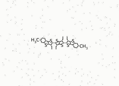 Cc1ccc2c(c1)sc1c(I)c(-c3sc4c(I)c(-c5sc6c(sc7cc(C)ccc76)c5I)sc4c3I)sc12